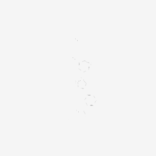 Cc1cc(F)c(C(=O)NC2CC2)cc1-c1cnn(-c2cncc(N(C3CCNCC3)C3COC3)c2)c1